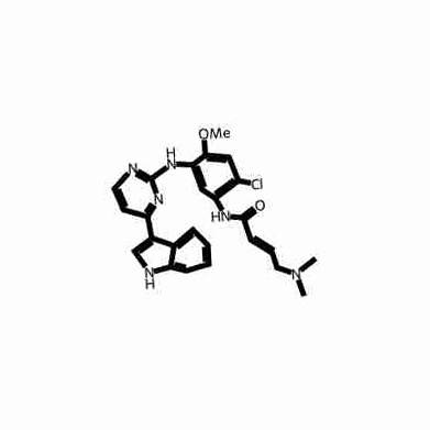 COc1cc(Cl)c(NC(=O)/C=C/CN(C)C)cc1Nc1nccc(-c2c[nH]c3ccccc23)n1